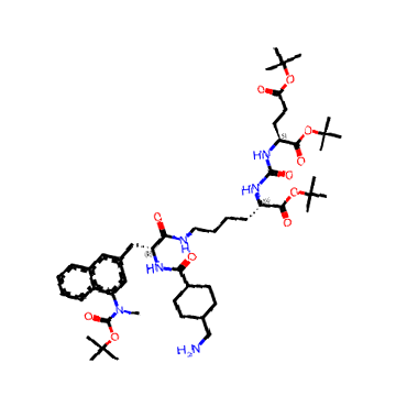 CN(C(=O)OC(C)(C)C)c1cc(C[C@@H](NC(=O)C2CCC(CN)CC2)C(=O)NCCCC[C@H](NC(=O)N[C@@H](CCC(=O)OC(C)(C)C)C(=O)OC(C)(C)C)C(=O)OC(C)(C)C)cc2ccccc12